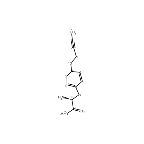 CC#CCOC1C=CC(C[C@H](N)C(=O)OC)=CC1